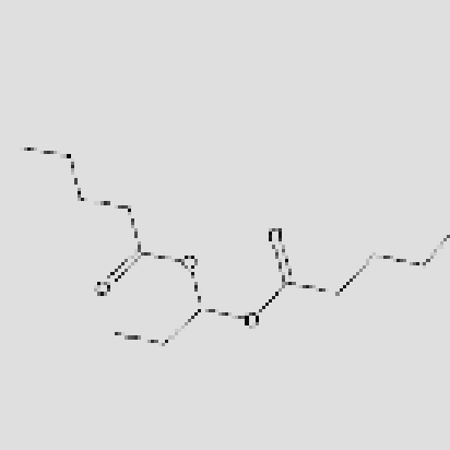 CCCCC(=O)OC(CC)OC(=O)CCCC